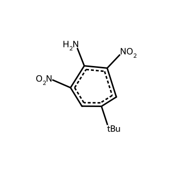 CC(C)(C)c1cc([N+](=O)[O-])c(N)c([N+](=O)[O-])c1